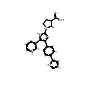 O=C(O)C1CCN(c2nc(-c3ccc(-c4cnco4)cc3)c(-c3cccnc3)s2)C1